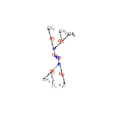 CCCCCCCCCOC(=O)CCCCCCCN(CCCCCCCC(=O)OC(CCCCCCCC)CCCCCCCC)CCCCC(=O)N1CCN(C(=O)CCCCN(CCCCCCCC(=O)OCCCCCCCCC)CCCCCCCC(=O)OC(CCCCCCCC)CCCCCCCC)CC1